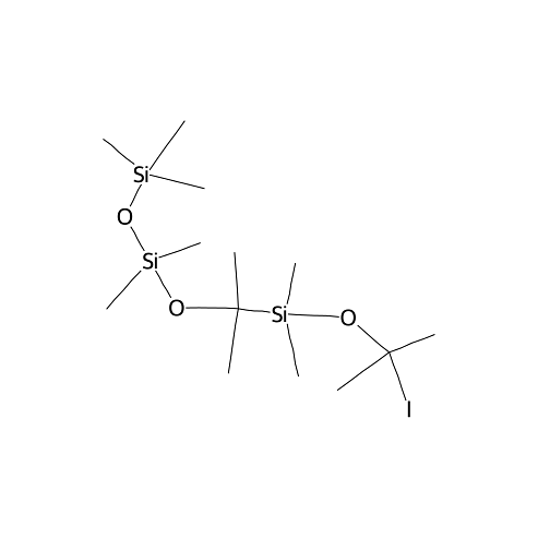 CC(C)(I)O[Si](C)(C)C(C)(C)O[Si](C)(C)O[Si](C)(C)C